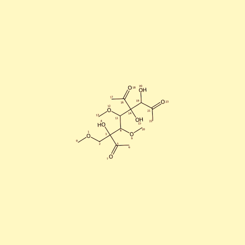 COCC(O)(C(C)=O)C(OC)C(OC)C(O)(C(C)=O)C(O)C(C)=O